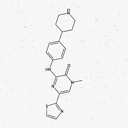 Cn1cc(-c2nccs2)nc(Nc2ccc(C3CCNCC3)cc2)c1=O